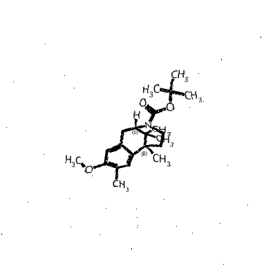 COc1cc2c(cc1C)[C@@]1(C)CCN(C(=O)OC(C)(C)C)[C@@H](C2)C1(C)C